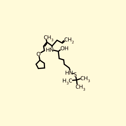 C=CCC(NC(O)CCCCNSC(C)(C)C)/C(C)=C\COC1CCCC1